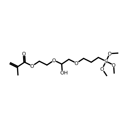 C=C(C)C(=O)OCCOC(O)COCCC[Si](OC)(OC)OC